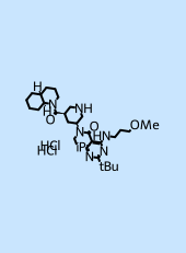 COCCCNc1nc(C(C)(C)C)ncc1C(=O)N(CC(C)C)[C@@H]1CNC[C@H](C(=O)N2CCC[C@H]3CCCC[C@@H]32)C1.Cl.Cl